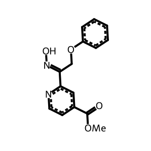 COC(=O)c1ccnc(/C(COc2ccccc2)=N/O)c1